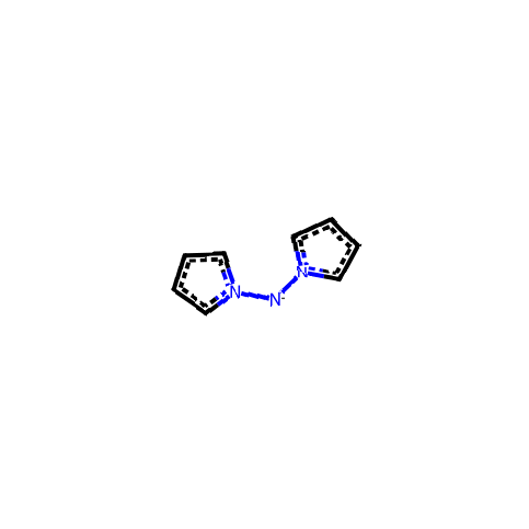 c1ccn([N]n2cccc2)c1